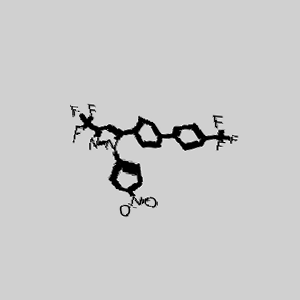 O=[N+]([O-])c1ccc(-n2nc(C(F)(F)F)cc2-c2ccc(-c3ccc(C(F)(F)F)cc3)cc2)cc1